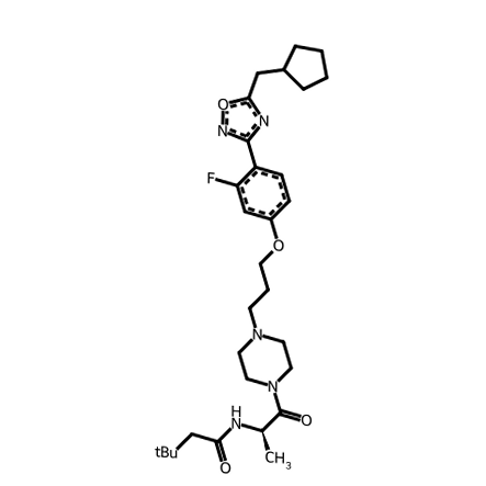 C[C@@H](NC(=O)CC(C)(C)C)C(=O)N1CCN(CCCOc2ccc(-c3noc(CC4CCCC4)n3)c(F)c2)CC1